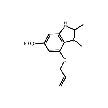 C=CCOc1cc(C(=O)OCC)cc2c1N(C)C(C)N2